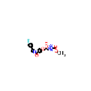 CCOC(=O)c1nnn(CC(O)COc2ccc(C(=O)N3CCC(c4ccc(F)cc4)C3)cc2)n1